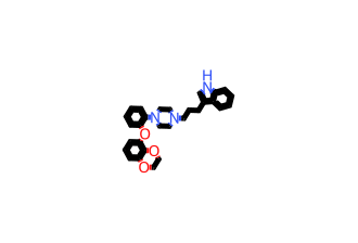 c1ccc(N2CCN(CCCc3c[nH]c4ccccc34)CC2)c(Oc2cccc3c2OCCO3)c1